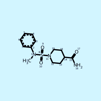 CN(c1ccccc1)S(=O)(=O)N1CCC(C(N)=O)CC1